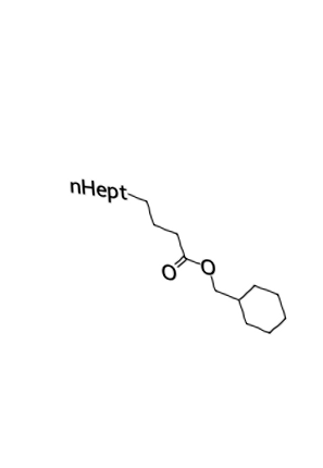 [CH2]CCCCCCCCCC(=O)OCC1CCCCC1